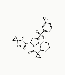 N#CC1(NC(=O)[C@@H]2C[C@@H](S(=O)(=O)c3cccc(C(F)(F)F)c3)CN2C(=O)C2(N3CCCCC3)CC2)CC1